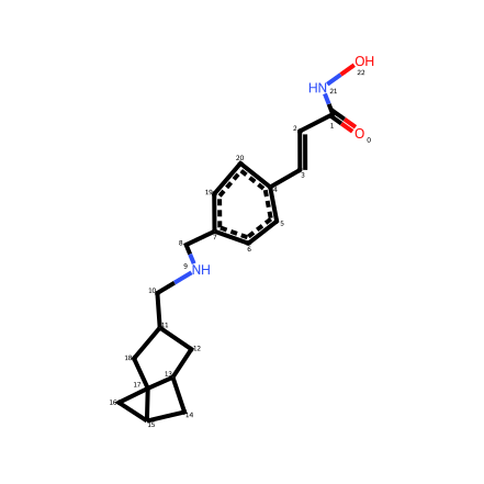 O=C(/C=C/c1ccc(CNCC2CC3CC4CC34C2)cc1)NO